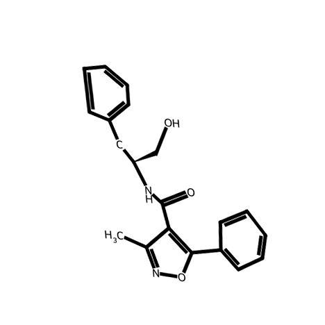 Cc1noc(-c2ccccc2)c1C(=O)N[C@H](CO)Cc1ccccc1